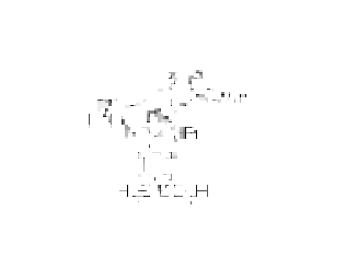 COc1cc(-n2c(C(C)C)c([C@H]3CC[C@](C)(C(=O)O)CC3)c3nc4[nH]ncc4cc32)ccc1F